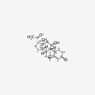 CC(=O)[C@H]1CC[C@H]2[C@@H]3CCC4=CC(=O)CC[C@]4(C=O)[C@H]3C(O)C[C@]12C